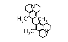 Cc1c(CC2C=C3CCCN4CCCC(=C34)C2C)c(C)c2c3c1CCCN3CCC2